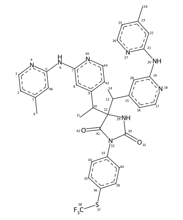 Cc1ccnc(Nc2cc(C(C)C3(C(C)c4ccnc(Nc5cc(C)ccn5)c4)NC(=O)N(c4ccc(SC(F)(F)F)cc4)C3=O)ccn2)c1